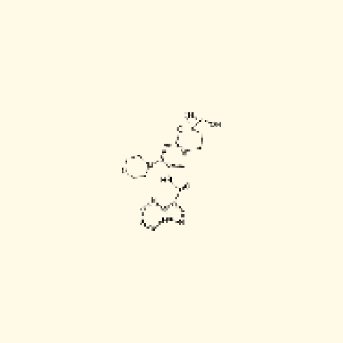 C[C@]1(CO)CCc2cc(NC(=O)c3cnn4cccnc34)c(N3CCOCC3)cc2O1